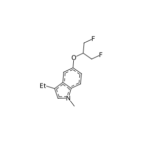 CCc1cn(C)c2ccc(OC(CF)CF)cc12